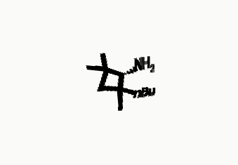 CCCCC1(C)CC(C)(C)[C@@H]1N